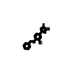 Cc1cc(-c2ccc(OCc3ccccc3)c(Cl)c2)n[nH]1